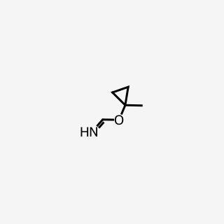 CC1(OC=N)CC1